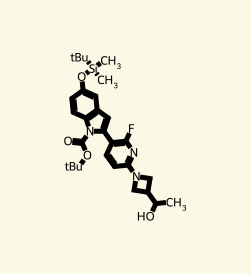 CC(O)C1CN(c2ccc(-c3cc4cc(O[Si](C)(C)C(C)(C)C)ccc4n3C(=O)OC(C)(C)C)c(F)n2)C1